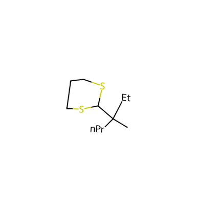 CCCC(C)(CC)C1SCCCS1